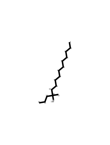 CCCCCCCCCCCC(C)(F)CCC